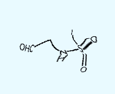 O=CCNS(=O)(=O)I